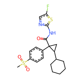 CS(=O)(=O)c1ccc(C2(C(=O)Nc3ncc(F)s3)CC2C2CCCCC2)cc1